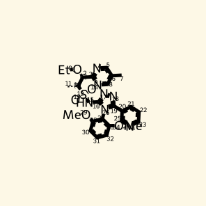 CCO[C@@H](c1ncc(C)cn1)[C@@H](C)S(=O)(=O)Nc1nnc(-c2cccnc2)n1-c1c(OC)cccc1OC